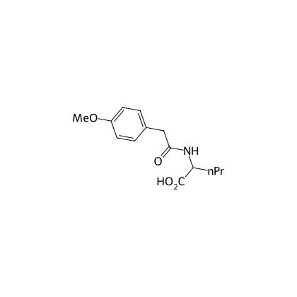 CCCC(NC(=O)Cc1ccc(OC)cc1)C(=O)O